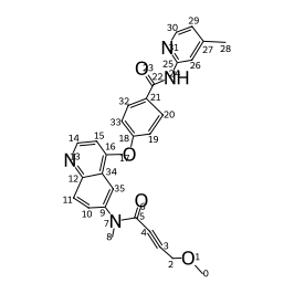 COCC#CC(=O)N(C)c1ccc2nccc(Oc3ccc(C(=O)Nc4cc(C)ccn4)cc3)c2c1